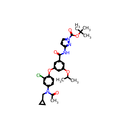 CC(=O)N(CC1CC1)c1ccc(Oc2cc(OC(C)C)cc(C(=O)Nc3ccn(C(=O)OC(C)(C)C)n3)c2)c(Cl)c1